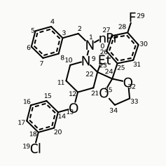 CCCN(Cc1ccccc1)N1CCC(Oc2cccc(Cl)c2)CC1(CC)C1(c2ccc(F)cc2)OCCO1